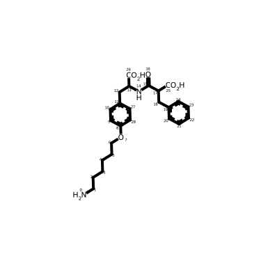 NCCCCCCOc1ccc(CC(NC(=O)C(Cc2ccccc2)C(=O)O)C(=O)O)cc1